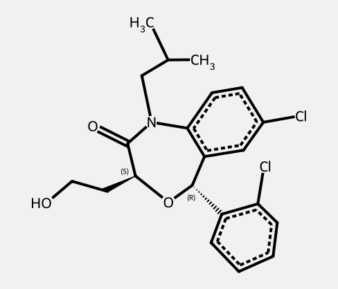 CC(C)CN1C(=O)[C@H](CCO)O[C@@H](c2ccccc2Cl)c2cc(Cl)ccc21